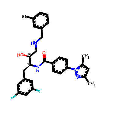 CCc1cccc(CNC[C@H](O)[C@H](Cc2cc(F)cc(F)c2)NC(=O)c2ccc(-n3nc(C)cc3C)cc2)c1